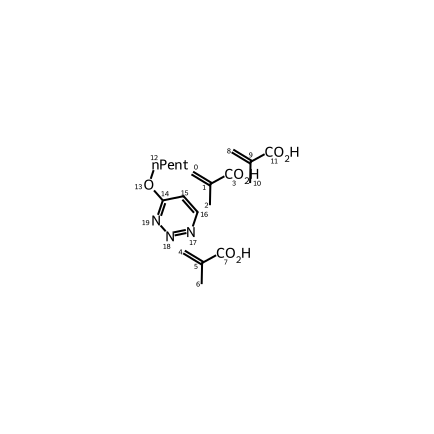 C=C(C)C(=O)O.C=C(C)C(=O)O.C=C(C)C(=O)O.CCCCCOc1ccnnn1